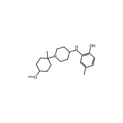 COC1CCC(C)(N2CCC(Nc3cc(C)ccc3O)CC2)CC1